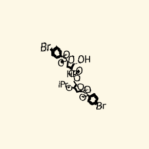 CC(C)OC1C[C@H](S(=O)(=O)c2ccc(Br)cc2)O[C@@H]1CO[PH](=O)OC1C[C@H](S(=O)(=O)c2ccc(Br)cc2)O[C@@H]1CO